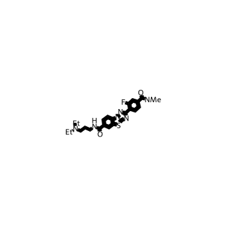 CCN(CC)CCCNC(=O)c1ccc2c(c1)sc1nc(-c3ccc(C(=O)NC)cc3F)nn12